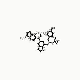 CCOC(=O)C[C@@H](c1cc(CN2Cc3cnc(O)cc3OC3(CC3)C2)c2sccc2c1)c1ccc2c(nnn2C)c1C